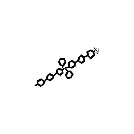 Cc1ccc(-c2ccc(-c3ccc([Si](c4ccccc4)(c4ccccc4)c4ccc(-c5ccc(-c6ccc([Si](C)(C)C)cc6)cc5)cc4)cc3)cc2)cc1